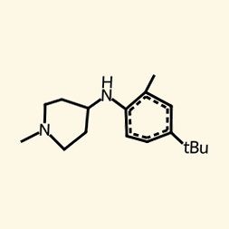 Cc1cc(C(C)(C)C)ccc1NC1CCN(C)CC1